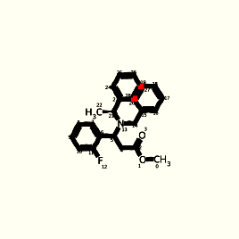 COC(=O)CC(c1ccccc1F)N(Cc1ccccc1)[C@@H](C)c1ccccc1